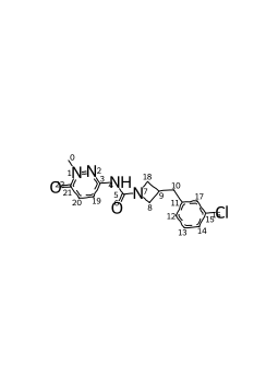 Cn1nc(NC(=O)N2CC(Cc3cccc(Cl)c3)C2)ccc1=O